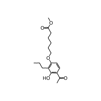 CCCc1c(OCCCCCC(=O)OC)ccc(C(C)=O)c1O